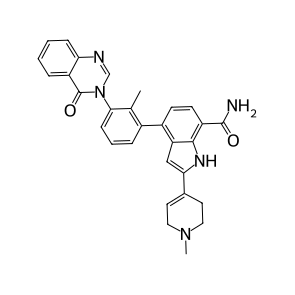 Cc1c(-c2ccc(C(N)=O)c3[nH]c(C4=CCN(C)CC4)cc23)cccc1-n1cnc2ccccc2c1=O